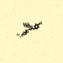 CN1CC2(C1)CN(CC[C@H](N)Cc1ccc(C#N)cc1)C2.Cl.Cl.Cl